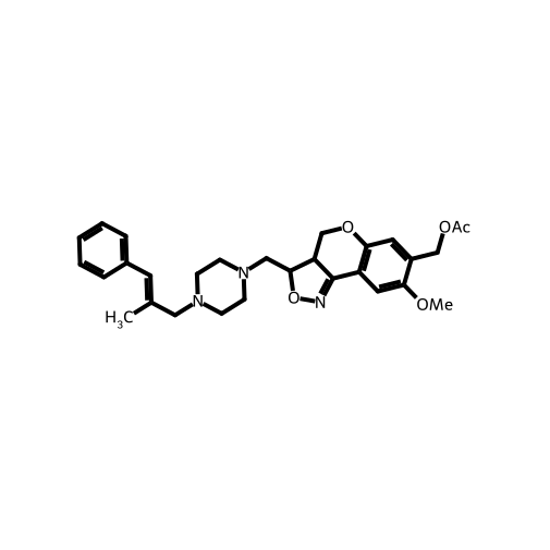 COc1cc2c(cc1COC(C)=O)OCC1C2=NOC1CN1CCN(CC(C)=Cc2ccccc2)CC1